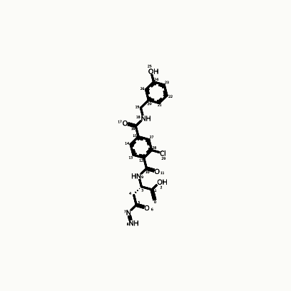 C=C(O)[C@H](CC(=O)N=N)NC(=O)c1ccc(C(=O)NCc2cccc(O)c2)cc1Cl